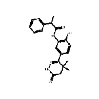 CC(C(=O)Nc1cc(C2=NNC(=O)CC2(C)C)ccc1O)c1ccccc1